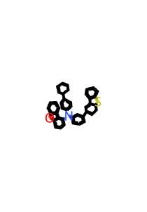 C1=CCC(c2ccc(N(c3cccc(C4=CCC5Sc6ccccc6C5=C4)c3)c3cccc4oc5ccccc5c34)cc2)C=C1